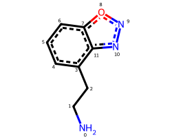 NCCc1cccc2onnc12